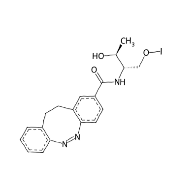 C[C@H](O)[C@H](COI)NC(=O)c1ccc2c(c1)CCc1ccccc1/N=N\2